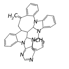 C=C1CC2c3ccccc3N3c4ncncc4N(C)C3C2C2N(c3ccccc3)c3ccccc3N2c2ccccc21